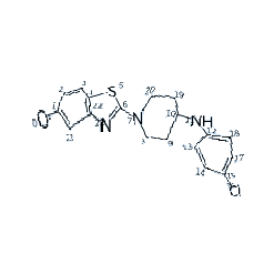 [O]c1ccc2sc(N3CCC(Nc4ccc(Cl)cc4)CC3)nc2c1